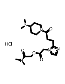 CN(C)C(=O)COC(=O)Cn1ccnc1CCC(=O)N1CCC(N(C)C)CC1.Cl